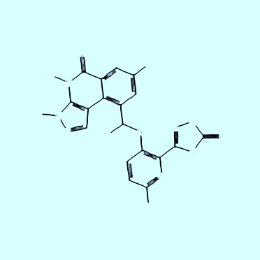 CCn1ncc2c3c(C(C)Nc4ccc(Cl)nc4-c4noc(=O)[nH]4)cc(C(F)(F)F)cc3c(=O)n(C)c21